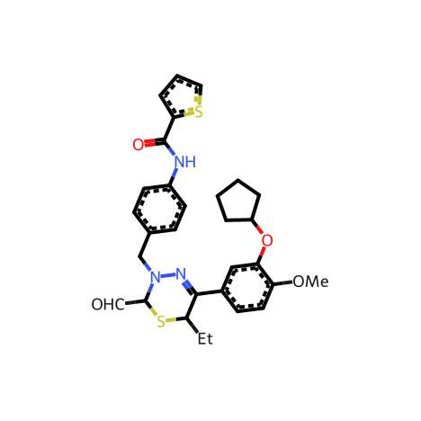 CCC1SC(C=O)N(Cc2ccc(NC(=O)c3cccs3)cc2)N=C1c1ccc(OC)c(OC2CCCC2)c1